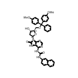 COc1ccc(C(OC[C@H]2O[C@@H](n3c(=O)[nH]c4c(NC(=O)Nc5ccc6ccccc6c5)ncnc43)C[C@@H]2O)(c2ccccc2)c2ccc(OC)cc2)cc1